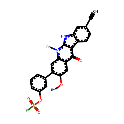 C#Cc1ccc2c(c1)[nH]c1c2c(=O)c2cc(OC(C)C)c(-c3cccc(OS(=O)(=O)F)c3)cc2n1C(C)C